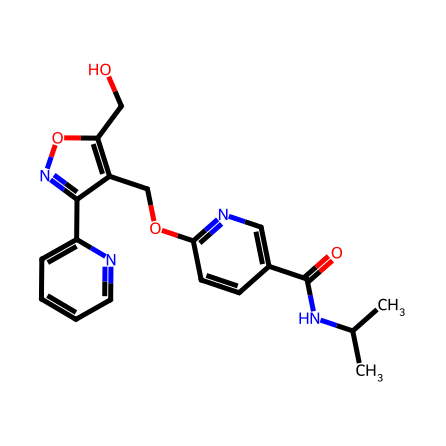 CC(C)NC(=O)c1ccc(OCc2c(-c3ccccn3)noc2CO)nc1